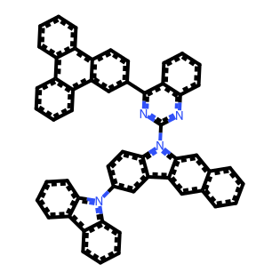 c1ccc2cc3c(cc2c1)c1cc(-n2c4ccccc4c4ccccc42)ccc1n3-c1nc(-c2ccc3c4ccccc4c4ccccc4c3c2)c2ccccc2n1